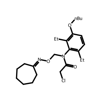 CCCCOc1ccc(CC)c(N(CON=C2CCCCCC2)C(=O)CCl)c1CC